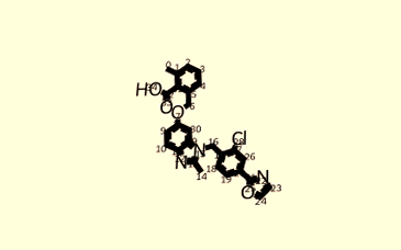 Cc1cccc(COc2ccc3nc(C)n(Cc4ccc(-c5ncco5)cc4Cl)c3c2)c1C(=O)O